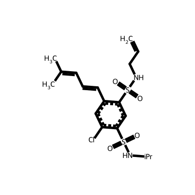 C=CCNS(=O)(=O)c1cc(S(=O)(=O)NC(C)C)c(Cl)cc1C=CC=C(C)C